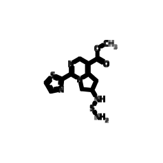 COC(=O)C1=C2CC(NSN)CN2C(c2nccs2)=NC1